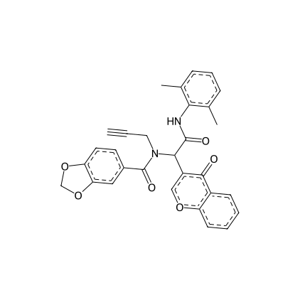 C#CCN(C(=O)c1ccc2c(c1)OCO2)C(C(=O)Nc1c(C)cccc1C)c1coc2ccccc2c1=O